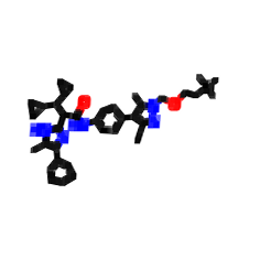 Cc1nn(COCC[Si](C)(C)C)c(C)c1-c1ccc(NC(=O)C(c2nc(-c3ccccc3)c(C)[nH]2)C(C2CC2)C2CC2)cc1